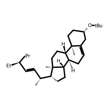 CC[C@H](/C=C/[C@@H](C)[C@H]1CC[C@H]2[C@@H]3CC=C4C[C@@H](OC(C)(C)C)CC[C@]4(C)[C@H]3CC[C@]12C)C(C)C